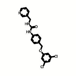 O=C(NCc1cccnc1)Nc1ccc(COc2cc(Cl)cc(Cl)c2)cc1